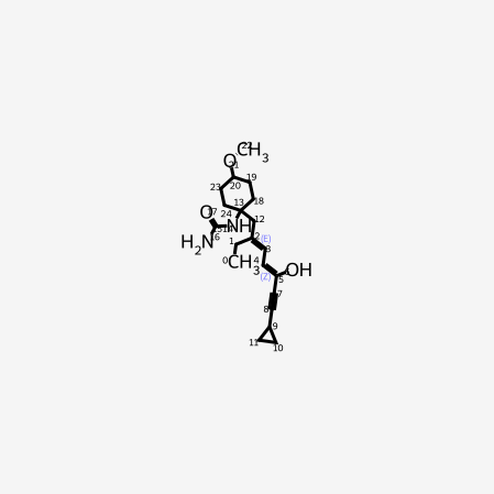 CC/C(=C\C=C(/O)C#CC1CC1)CC1(NC(N)=O)CCC(OC)CC1